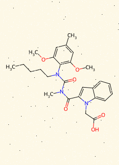 CCCCCN(C(=O)N(C)C(=O)c1cc2ccccc2n1CC(=O)O)c1c(OC)cc(C)cc1OC